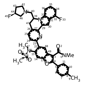 CNC(=O)c1c(-c2ccc(C)cc2)oc2cc(N(C)S(C)(=O)=O)c(-c3ccc4c(n3)-c3cc5c(F)cccc5n3C(CN3CC[C@H](F)C3)C4)cc12